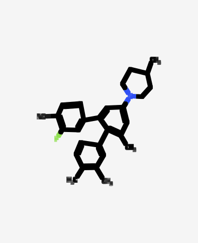 Cc1ccc(-c2c(C)cc(N3CCC(C)CC3)cc2-c2ccc(C#N)c(F)c2)cc1C